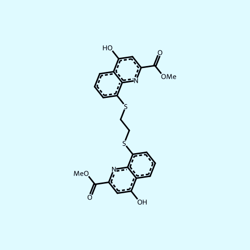 COC(=O)c1cc(O)c2cccc(SCCSc3cccc4c(O)cc(C(=O)OC)nc34)c2n1